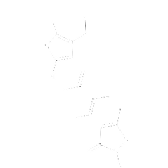 CCc1c(Cl)[nH]c2ncc(-c3ccc4[nH]n(C)c(=O)c4c3F)cc12